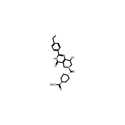 CCC1CN(C(=O)[C@H]2CC[C@H](C(=O)OC)CC2)Cc2c1nc(-c1ccc(CI)cc1)[nH]c2=O